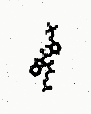 CC(=O)SCCN(C)C(=O)n1c([S@+]([O-])Cc2nccc(OCC(F)(F)F)c2C)nc2ccccc21